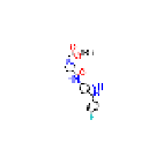 CC(C)(C)OC(=O)CN1CCC(C(=O)Nc2ccc3c(-c4ccc(F)cc4)n[nH]c3c2)C1